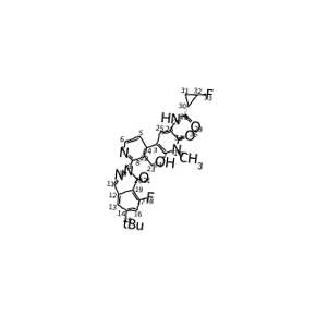 Cn1cc(-c2ccnc(-n3ncc4cc(C(C)(C)C)cc(F)c4c3=O)c2CO)cc(NC(=O)[C@@H]2C[C@H]2F)c1=O